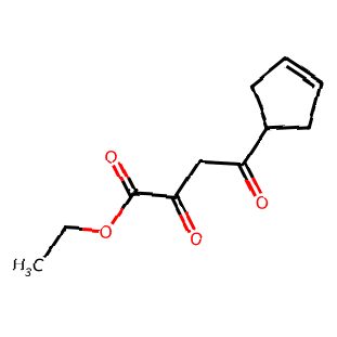 CCOC(=O)C(=O)CC(=O)C1CC=CC1